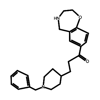 O=C(CCC1CCN(Cc2ccccc2)CC1)c1ccc2c(c1)CNCCO2